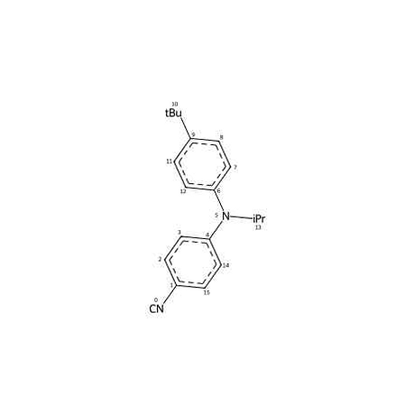 [C-]#[N+]c1ccc(N(c2ccc(C(C)(C)C)cc2)C(C)C)cc1